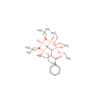 CCOP(=O)(OCC)C(C(CC)C(=O)c1ccccc1)C(P(=O)(OCC)OCC)(P(=O)(OCC)OCC)P(=O)(OCC)OCC